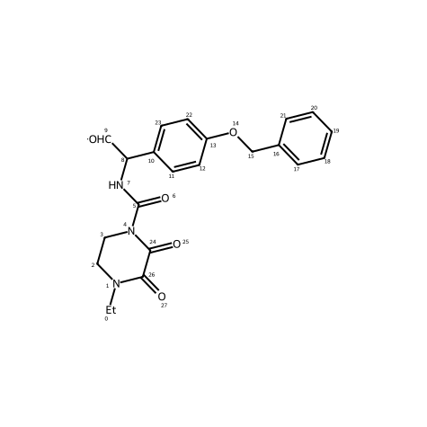 CCN1CCN(C(=O)NC([C]=O)c2ccc(OCc3ccccc3)cc2)C(=O)C1=O